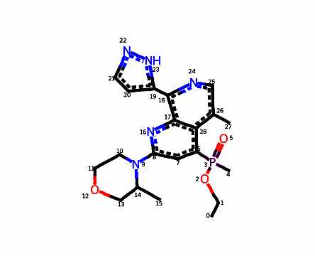 CCOP(C)(=O)c1cc(N2CCOCC2C)nc2c(-c3ccn[nH]3)ncc(C)c12